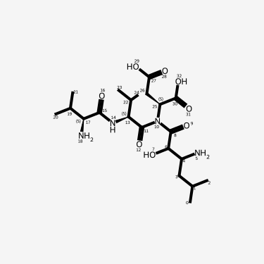 CC(C)CC(N)C(O)C(=O)N(C(=O)[C@@H](NC(=O)[C@@H](N)C(C)C)C(C)C)[C@@H](CC(=O)O)C(=O)O